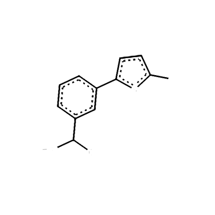 CC(C)c1cccc(-c2ccc(F)s2)c1